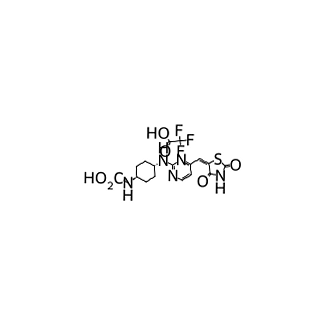 O=C(O)C(F)(F)F.O=C(O)N[C@H]1CC[C@H](Nc2nccc(C=C3SC(=O)NC3=O)n2)CC1